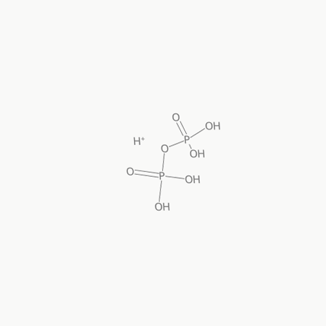 O=P(O)(O)OP(=O)(O)O.[H+]